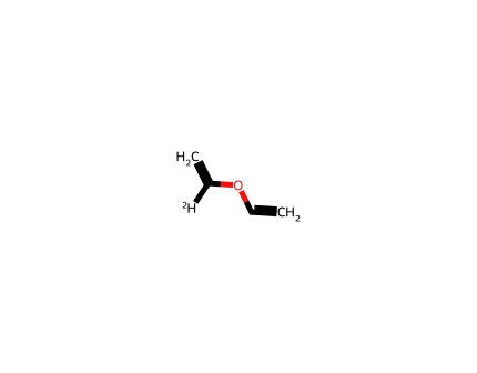 [2H]C(=C)OC=C